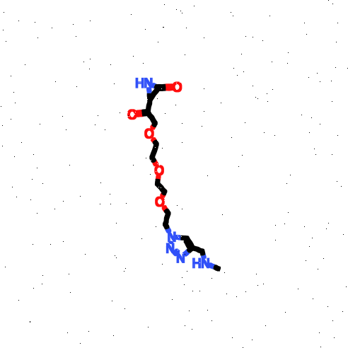 CNCc1cn(CCOCCOCCOCC(=O)C2NC2=O)nn1